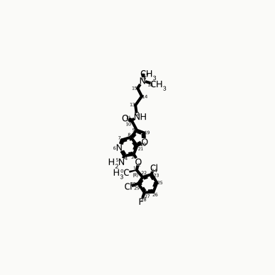 C[C@@H](Oc1c(N)ncc2c(C(=O)NCCCN(C)C)coc12)c1c(Cl)ccc(F)c1Cl